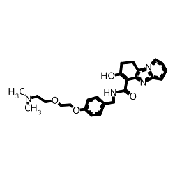 CN(C)CCOCCOc1ccc(CNC(=O)C2=C(O)CCc3c2nc2ccccn32)cc1